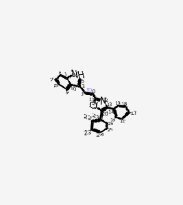 C(=C\c1c[nH]c2ccccc12)/c1nc(-c2ccccc2)c(-c2ccccc2)o1